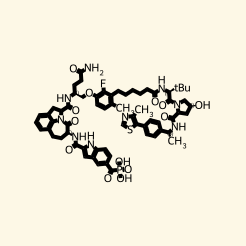 Cc1ccc(OC[C@H](CCC(N)=O)NC(=O)C2Cc3cccc4c3N2C(=O)[C@@H](NC(=O)c2cc3cc(C(=O)P(=O)(O)O)ccc3[nH]2)CC4)c(F)c1CCCCCC(=O)N[C@H](C(=O)N1C[C@H](O)CC1C(=O)N[C@@H](C)c1ccc(-c2scnc2C)cc1)C(C)(C)C